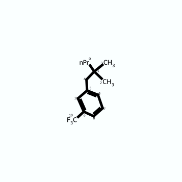 [CH2]CCC(C)(C)Cc1cccc(C(F)(F)F)c1